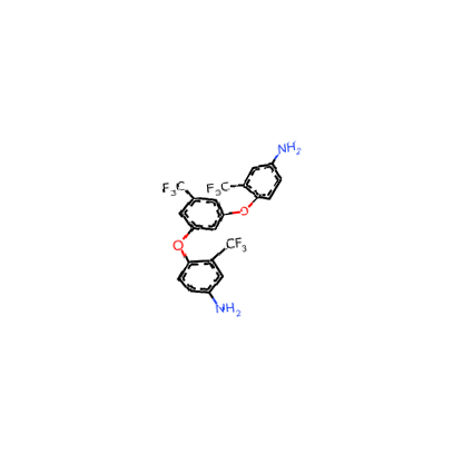 Nc1ccc(Oc2cc(Oc3ccc(N)cc3C(F)(F)F)cc(C(F)(F)F)c2)c(C(F)(F)F)c1